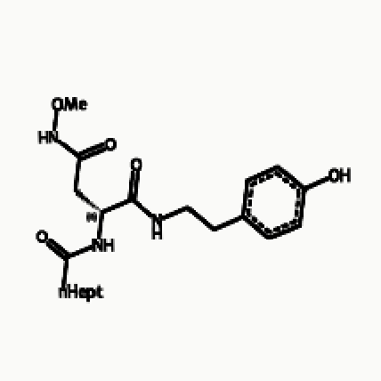 CCCCCCCC(=O)N[C@H](CC(=O)NOC)C(=O)NCCc1ccc(O)cc1